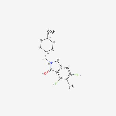 Cc1c(F)cc2c(c1F)C(=O)N(C[C@H]1CC[C@H](C(=O)O)CC1)C2